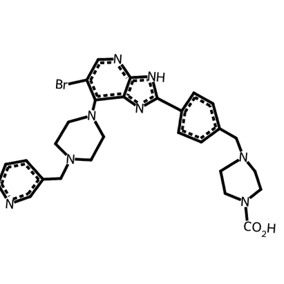 O=C(O)N1CCN(Cc2ccc(-c3nc4c(N5CCN(Cc6cccnc6)CC5)c(Br)cnc4[nH]3)cc2)CC1